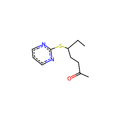 CCC(CCC(C)=O)Sc1ncccn1